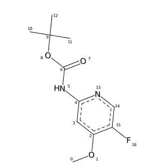 COc1cc(NC(=O)OC(C)(C)C)ncc1F